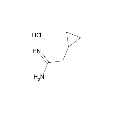 Cl.N=C(N)CC1CC1